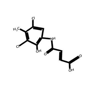 Cc1c(Cl)cc(NC(=O)C=CC(=O)O)c(O)c1Cl